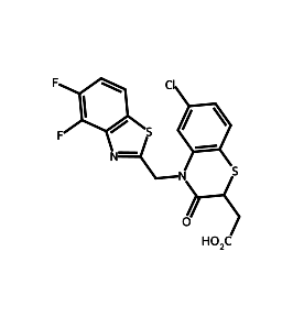 O=C(O)CC1Sc2ccc(Cl)cc2N(Cc2nc3c(F)c(F)ccc3s2)C1=O